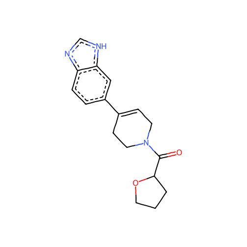 O=C(C1CCCO1)N1CC=C(c2ccc3nc[nH]c3c2)CC1